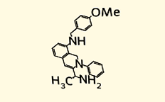 COc1ccc(CNc2cccc3c2CN(c2ccccc2)C([C@H](C)N)=C3)cc1